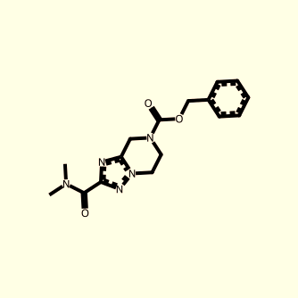 CN(C)C(=O)c1nc2n(n1)CCN(C(=O)OCc1ccccc1)C2